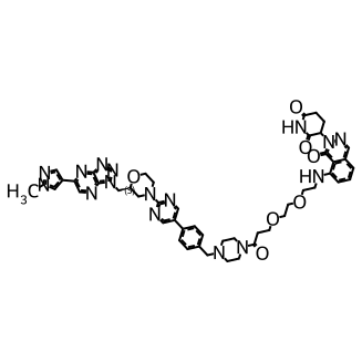 Cn1cc(-c2cnc3c(nnn3C[C@@H]3CN(c4ncc(-c5ccc(CN6CCN(C(=O)CCOCCOCCNc7cccc8cnn(C9CCC(=O)NC9=O)c(=O)c78)CC6)cc5)cn4)CCO3)n2)cn1